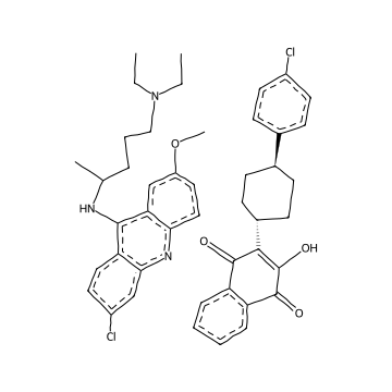 CCN(CC)CCCC(C)Nc1c2ccc(Cl)cc2nc2ccc(OC)cc12.O=C1C(O)=C([C@H]2CC[C@H](c3ccc(Cl)cc3)CC2)C(=O)c2ccccc21